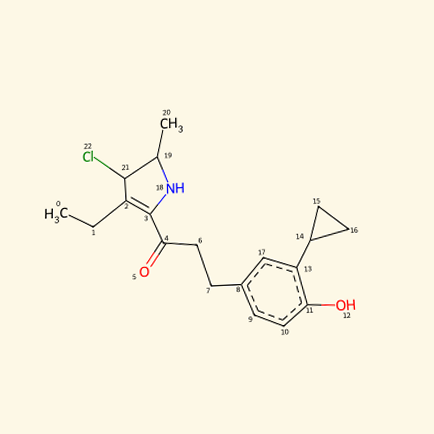 CCC1=C(C(=O)CCc2ccc(O)c(C3CC3)c2)NC(C)C1Cl